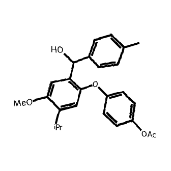 COc1cc(C(O)c2ccc(C)cc2)c(Oc2ccc(OC(C)=O)cc2)cc1C(C)C